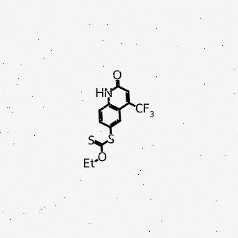 CCOC(=S)Sc1ccc2[nH]c(=O)cc(C(F)(F)F)c2c1